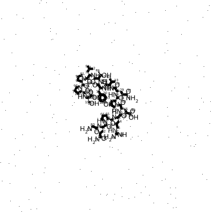 CC(C)C[C@H](NC(=O)[C@@H](NC(=O)[C@H](Cc1ccc(O)cc1)NC(=O)[C@@H](NC(=O)[C@H](CCC(N)=O)NC(=O)[C@@H]1CCCN1C(=O)[C@H](CCC(=O)O)NC(=O)[C@H](CCCNC(=N)N)NC(=O)[C@@H]1CCCN1C(=O)[C@H](CCC(N)=O)NC(=O)CN)C(C)C)[C@@H](C)O)C(=O)N1CCC[C@H]1C(=O)N1CCC[C@H]1C(=O)N[C@@H](CO)C(=O)O